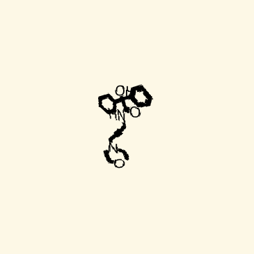 O=C(NCC#CCN1CCOCC1)C(O)(c1ccccc1)C1CCCCC1